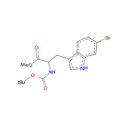 COC(=O)C(Cc1c[nH]c2cc(Br)ccc12)NC(=O)OC(C)(C)C